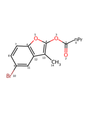 CCCC(=O)Oc1oc2ccc(Br)cc2c1C